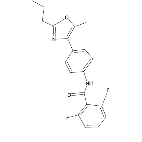 CCCc1nc(-c2ccc(NC(=O)c3c(F)cccc3F)cc2)c(C)o1